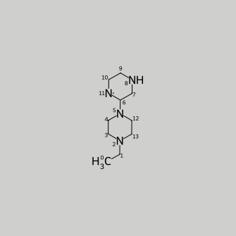 CCN1CCN(C2CNCC[N]2)CC1